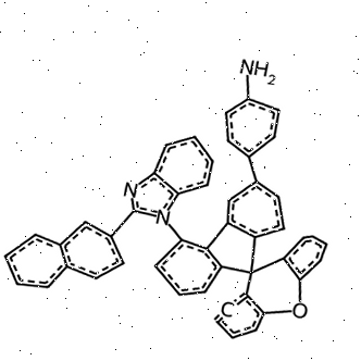 Nc1ccc(-c2ccc3c(c2)-c2c(-n4c(-c5ccc6ccccc6c5)nc5ccccc54)cccc2C32c3ccccc3Oc3ccccc32)cc1